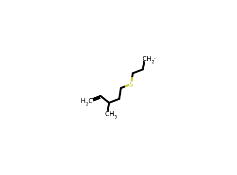 [CH2]CCSCCC(C)C=C